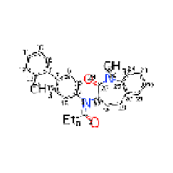 CCC(=O)N(c1ccc(-c2ccccc2C)cc1)[C@@H]1C=Cc2ccccc2N(C)C1=O